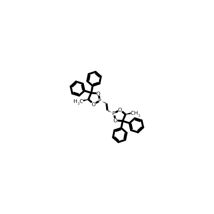 C[C@@H]1O[P@@](CC[P@]2O[C@@H](C)C(c3ccccc3)(c3ccccc3)O2)OC1(c1ccccc1)c1ccccc1